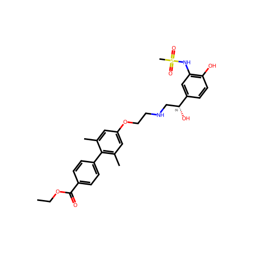 CCOC(=O)c1ccc(-c2c(C)cc(OCCNC[C@@H](O)c3ccc(O)c(NS(C)(=O)=O)c3)cc2C)cc1